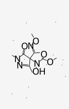 CO/N=C(\C)C1(N(O)C(=O)OC)C(=O)N(C)N=C1C